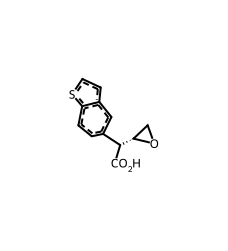 O=C(O)C(c1ccc2sccc2c1)[C@@H]1CO1